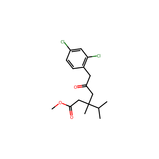 COC(=O)CC(C)(CC(=O)Cc1ccc(Cl)cc1Cl)C(C)C